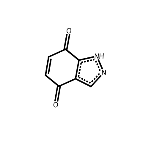 O=C1C=CC(=O)c2[nH]ncc21